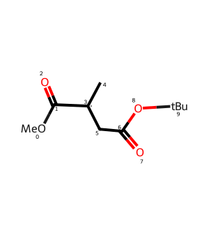 COC(=O)[C](C)CC(=O)OC(C)(C)C